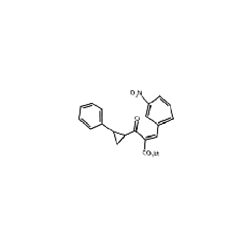 CCOC(=O)C(=Cc1cccc([N+](=O)[O-])c1)C(=O)C1CC1c1ccccc1